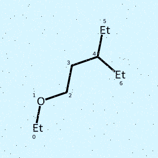 [CH2]COCCC(CC)CC